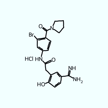 Cl.N=C(N)c1ccc(O)c(CC(=O)Nc2ccc(C(=O)N3CCCC3)c(Br)c2)c1